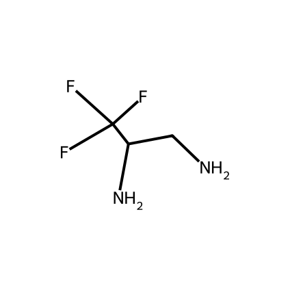 NCC(N)C(F)(F)F